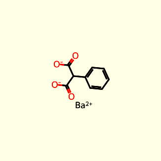 O=C([O-])C(C(=O)[O-])c1ccccc1.[Ba+2]